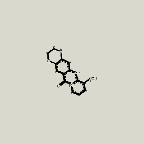 O=C(O)c1cccn2c(=O)c3cc4c(cc3nc12)OCCO4